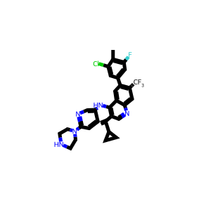 C=C(c1cnc2cc(C(F)(F)F)c(-c3cc(F)c(C)c(Cl)c3)cc2c1Nc1ccc(N2CCNCC2)nc1)C1CC1